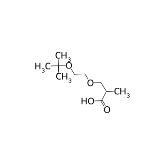 CC(COCCOC(C)(C)C)C(=O)O